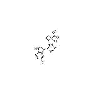 COC(=O)C1(Nc2nc(C3CNc4ncc(Cl)cc43)ncc2F)CCC1